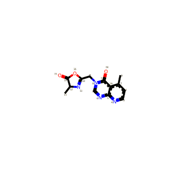 Cc1ccnc2ncn(CC3=NC(C)C(=O)O3)c(=O)c12